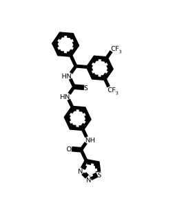 O=C(Nc1ccc(NC(=S)NC(c2ccccc2)c2cc(C(F)(F)F)cc(C(F)(F)F)c2)cc1)c1csnn1